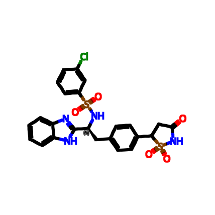 O=C1CC(c2ccc(C[C@H](NS(=O)(=O)c3cccc(Cl)c3)c3nc4ccccc4[nH]3)cc2)S(=O)(=O)N1